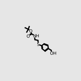 CC(C)(C)OC(=O)NCCSc1ccc(CO)cc1